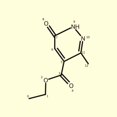 CCOC(=O)c1cc(=O)[nH]nc1C